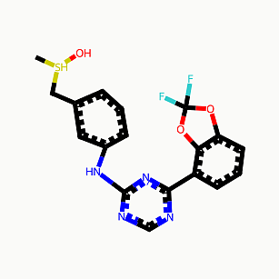 C[SH](O)Cc1cccc(Nc2ncnc(-c3cccc4c3OC(F)(F)O4)n2)c1